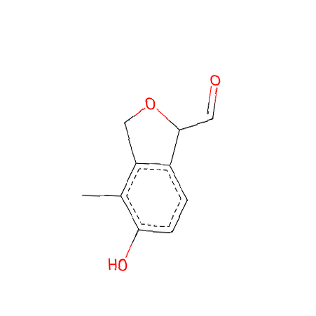 Cc1c(O)ccc2c1COC2C=O